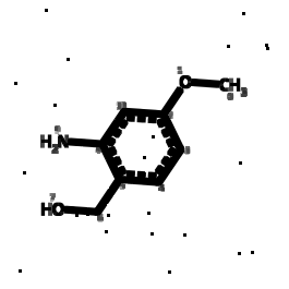 COc1ccc(CO)c(N)c1